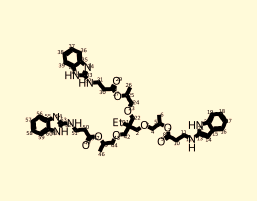 CCC(COCC(C)OC(=O)CCNc1cc2ccccc2[nH]1)(COCC(C)OC(=O)CCNc1nc2ccccc2[nH]1)COCC(C)OC(=O)CCNc1nc2ccccc2[nH]1